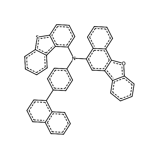 c1ccc2c(-c3ccc(N(c4cc5c6ccccc6oc5c5ccccc45)c4cccc5sc6ccccc6c45)cc3)cccc2c1